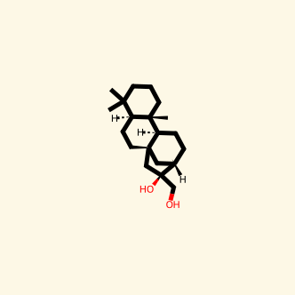 CC1(C)CCC[C@@]2(C)[C@H]1CC[C@]13C[C@H](CC[C@@H]12)[C@](O)(CO)C3